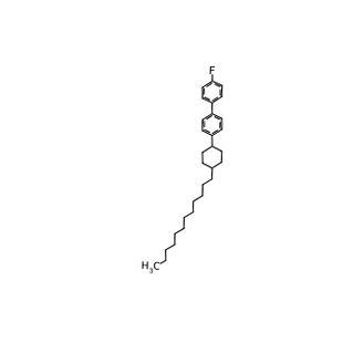 CCCCCCCCCCCCC1CCC(c2ccc(-c3ccc(F)cc3)cc2)CC1